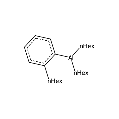 CCCCCCc1cccc[c]1[Al]([CH2]CCCCC)[CH2]CCCCC